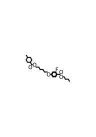 CCCCOC(=O)c1ccc(OCCCCCCOC(=O)C2CCC(C)CC2)cc1F